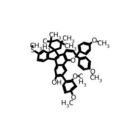 COc1ccc(C2(c3ccc(OC)cc3)C=Cc3c4c(c5cc(O)c(-c6ccc(OC)cc6OC)cc5c3O2)-c2ccc(SC)cc2C42CC(C)(C)CC(C)(C)C2)cc1